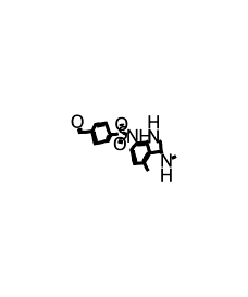 CNC1CNc2c(NS(=O)(=O)c3ccc(C=O)cc3)ccc(C)c21